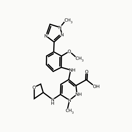 COc1c(NC2=C(C(=O)O)NN(C)C(NC3COC3)=C2)cccc1-c1ncn(C)n1